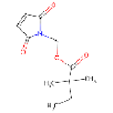 CCC(C)(C)C(=O)OCN1C(=O)C=CC1=O